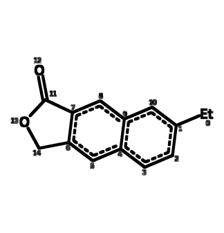 CCc1ccc2cc3c(cc2c1)C(=O)OC3